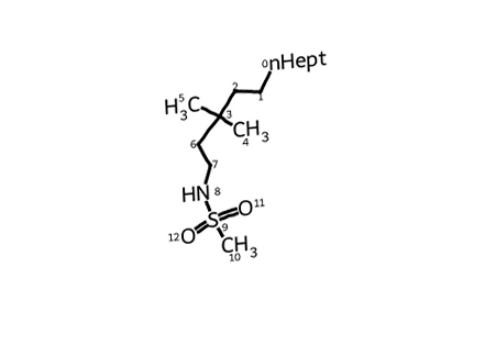 CCCCCCCCCC(C)(C)CCNS(C)(=O)=O